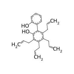 C=CCc1c(O)c(-c2ccccc2O)c(CC=C)c(CC=C)c1CC=C